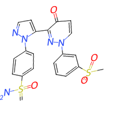 C=S(N)(=O)c1ccc(-n2nccc2-c2nn(-c3cccc(S(C)(=O)=O)c3)ccc2=O)cc1